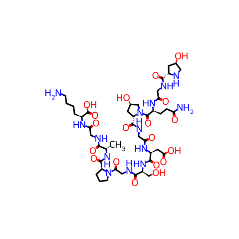 C[C@H](NC(=O)[C@@H]1CCCN1C(=O)CNC(=O)[C@H](CO)NC(=O)[C@H](CC(=O)O)NC(=O)CNC(=O)[C@@H]1C[C@@H](O)CN1C(=O)[C@H](CCC(N)=O)NC(=O)CNC(=O)[C@@H]1C[C@@H](O)CN1)C(=O)NCC(=O)N[C@@H](CCCCN)C(=O)O